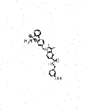 Cc1c(C)n(Cc2ccc(-c3ccccc3S(N)(=O)=O)cc2)c2ccc(C(=O)NCc3cccc(O)c3)cc12